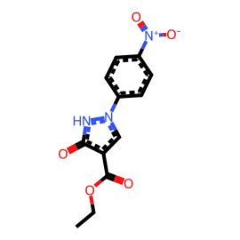 CCOC(=O)c1cn(-c2ccc([N+](=O)[O-])cc2)[nH]c1=O